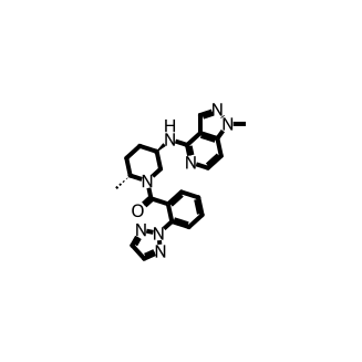 C[C@@H]1CC[C@@H](Nc2nccc3c2cnn3C)CN1C(=O)c1ccccc1-n1nccn1